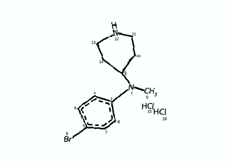 CN(c1ccc(Br)cc1)C1CCNCC1.Cl.Cl